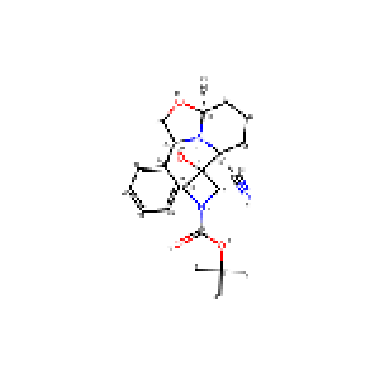 CC(C)(C)OC(=O)N1CC(O)([C@]2(C#N)CCC[C@@H]3OC[C@H](c4ccccc4)N32)C1